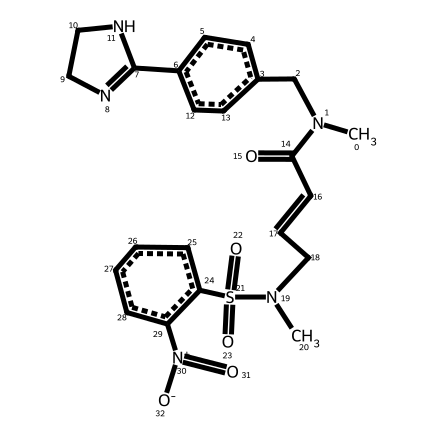 CN(Cc1ccc(C2=NCCN2)cc1)C(=O)/C=C/CN(C)S(=O)(=O)c1ccccc1[N+](=O)[O-]